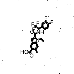 CCn1c(C(=O)NC(c2ccc(F)c(F)c2)C(F)(F)F)cc2cc(C(=O)O)c(C)cc21